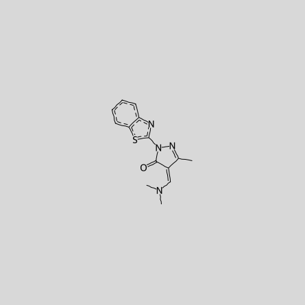 CC1=NN(c2nc3ccccc3s2)C(=O)/C1=C\N(C)C